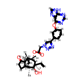 C=C[C@]1(C)C[C@@H](OC(=O)Cn2cc(-c3cccc(Oc4ncnc5[nH]cnc45)c3)nn2)[C@]2(C)[C@H](C)CC[C@]3(CCC(=O)[C@H]32)[C@@H](C)[C@@H]1O